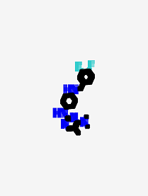 Cc1cnc(NC2CCC(NCc3ccc(F)c(F)c3)CC2)nc1N(C)C